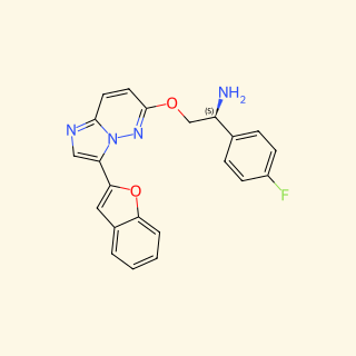 N[C@H](COc1ccc2ncc(-c3cc4ccccc4o3)n2n1)c1ccc(F)cc1